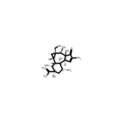 C=C(P)[C@]1(O)C[C@@H](C)[C@@]2(O)[C@H]([C@H]1O)[C@@H]1C[C@]1(CO)[C@@H](O)[C@]1(O)C(=O)C(C)=C[C@H]12